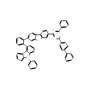 c1ccc(C2=NC(c3ccc4c(c3)oc3cc(-c5ccccc5-c5cccc6c5c5ccccc5n6-c5ccccc5)ccc34)=NC(c3ccc(-c4ccccc4)cc3)N2)cc1